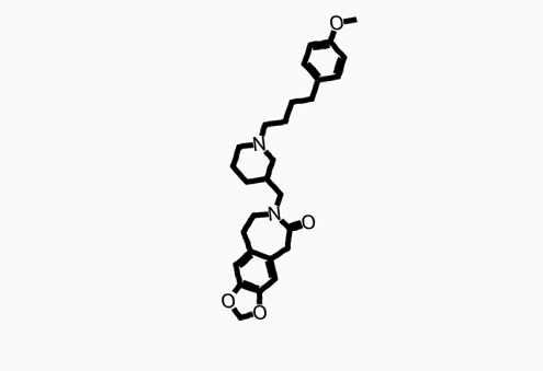 COc1ccc(CCCCN2CCCC(CN3CCc4cc5c(cc4CC3=O)OCO5)C2)cc1